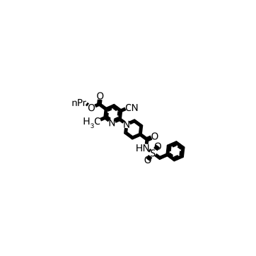 CCCOC(=O)c1cc(C#N)c(N2CCC(C(=O)NS(=O)(=O)Cc3ccccc3)CC2)nc1C